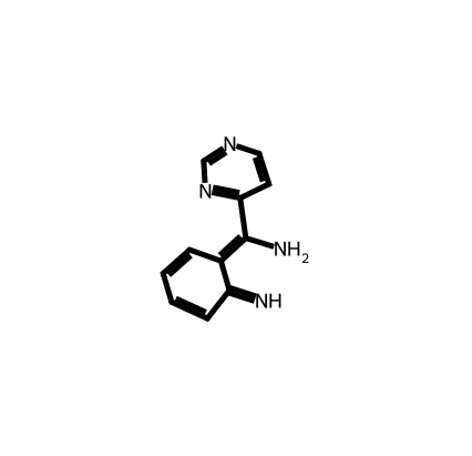 N=C1C=CC=C/C1=C(/N)c1ccncn1